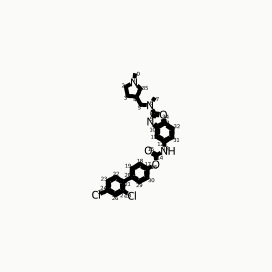 CN1CCC(CN(C)c2nc3cc(NC(=O)Oc4ccc(-c5ccc(Cl)cc5Cl)cc4)ccc3o2)C1